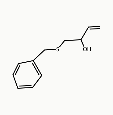 C=CC(O)CSCc1ccccc1